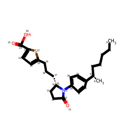 CCCCC[C@H](C)c1ccc(N2C(=O)CC[C@@H]2CCCc2ccc(C(=O)O)s2)cc1